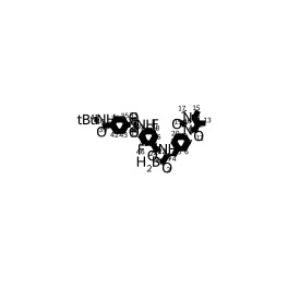 BC(=O)[C@H](Cc1ccc(-n2c(=O)c(C)c(C)n(C)c2=O)cc1)NC(=O)c1cc(F)c(NS(=O)(=O)c2ccc(C(=O)NC(C)(C)C)cc2)cc1F